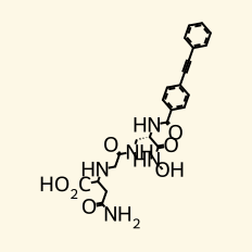 NC(=O)CC(NCC(=O)NC[C@H](NC(=O)c1ccc(C#Cc2ccccc2)cc1)C(=O)NO)C(=O)O